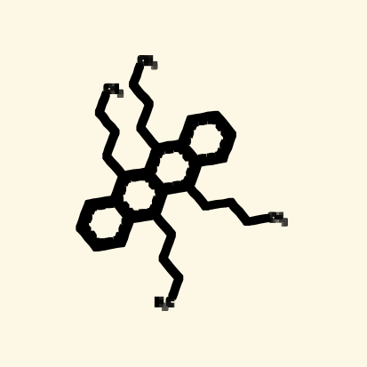 CCCCc1c2ccccc2c(CCCC)c2c(CCCC)c3ccccc3c(CCCC)c12